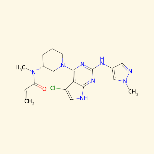 C=CC(=O)N(C)[C@@H]1CCCN(c2nc(Nc3cnn(C)c3)nc3[nH]cc(Cl)c23)C1